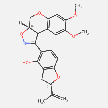 C=C(C)[C@H]1Cc2c(ccc(C3=NO[C@@H]4COc5cc(OC)c(OC)cc5C34)c2O)O1